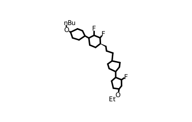 CCCCOC1CCC(C2CC[C@H](CCCC3CCC(C4CCC(OCC)CC4F)CC3)C(F)C2F)CC1